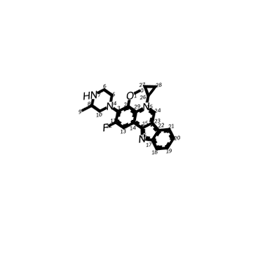 COc1c(N2CCNC(C)C2)c(F)cc2c3nc4ccccc4c-3cn(C3CC3)c12